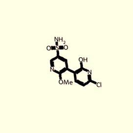 COc1ncc(S(N)(=O)=O)cc1-c1ccc(Cl)nc1O